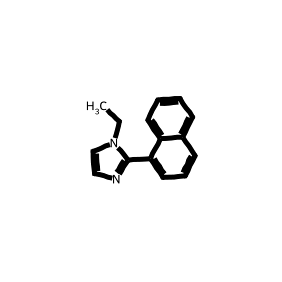 CCn1ccnc1-c1cccc2ccccc12